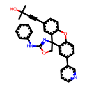 CC(C)(O)C#Cc1ccc2c(c1)C1(COC(Nc3ccccc3)=N1)c1cc(-c3cccnc3)ccc1O2